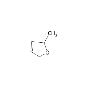 CC1C=CCO1